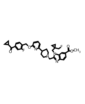 COC(=O)c1ccc2nc(CN3CCC(c4cccc(OCc5ccc(C(=O)C6CC6)cc5F)n4)CC3)n(CC3(CF)CC3)c2c1